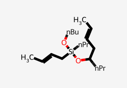 CC=CCC(CCC)O[Si](CC=CC)(CCC)OCCCC